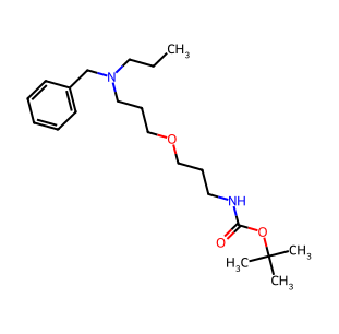 CCCN(CCCOCCCNC(=O)OC(C)(C)C)Cc1ccccc1